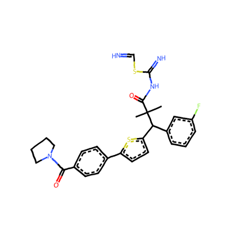 CC(C)(C(=O)NC(=N)SC=N)C(c1cccc(F)c1)c1ccc(-c2ccc(C(=O)N3CCCC3)cc2)s1